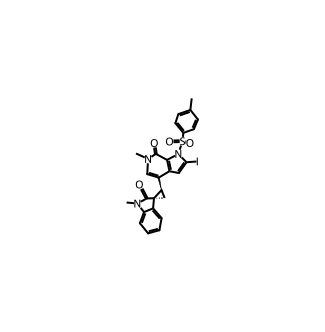 Cc1ccc(S(=O)(=O)n2c(I)cc3c([C@H]4C[C@]45C(=O)N(C)c4ccccc45)cn(C)c(=O)c32)cc1